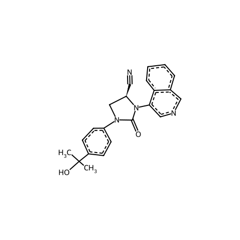 CC(C)(O)c1ccc(N2C[C@@H](C#N)N(c3cncc4ccccc34)C2=O)cc1